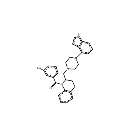 O=C(c1cccc(Cl)c1)N1c2ccccc2CCC1CN1CCN(c2cccc3[nH]ccc23)CC1